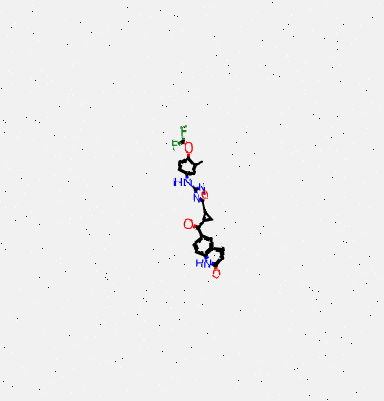 Cc1cc(Nc2noc(C3CC3C(=O)c3ccc4[nH]c(=O)ccc4c3)n2)ccc1OC(F)F